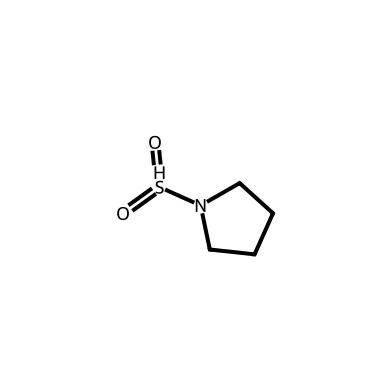 O=[SH](=O)N1CCCC1